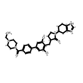 CCN1CCN(C(=O)c2ccc(-c3cc(Cl)c(CC4CCN(C5CCc6[nH]cnc6C5)C4=O)c(Cl)c3)cc2)CC1